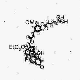 CCOC(=O)O[C@]1(C(=O)COC(=O)/C=C/c2ccc(OC(=O)CCCON(O)O)c(OC)c2)CC[C@H]2[C@@H]3CCC4=CC(=O)C=C[C@]4(C)[C@H]3[C@@H](O)C[C@@]21C